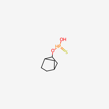 O[PH](=S)OC1CC2CCC1C2